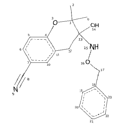 CC1(C)Oc2ccc(C#N)cc2CC1(O)NOCc1ccccc1